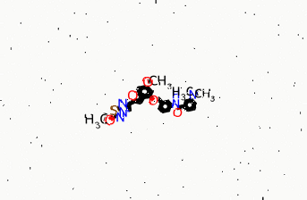 COc1cc(OCc2cccc(NC(=O)c3cccc(N(C)C)c3)c2)c2cc(-c3cn4nc(OC)sc4n3)oc2c1